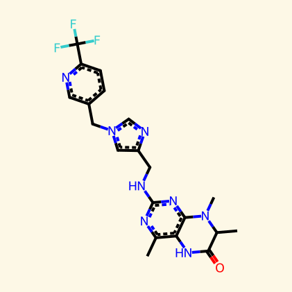 Cc1nc(NCc2cn(Cc3ccc(C(F)(F)F)nc3)cn2)nc2c1NC(=O)C(C)N2C